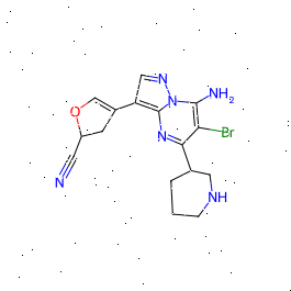 N#CC1CC(c2cnn3c(N)c(Br)c(C4CCCNC4)nc23)=CO1